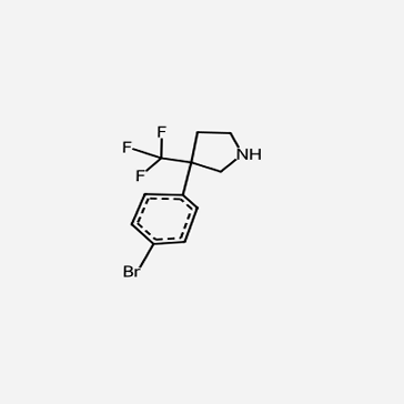 FC(F)(F)C1(c2ccc(Br)cc2)CCNC1